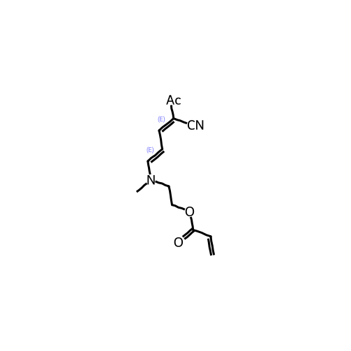 C=CC(=O)OCCN(C)/C=C/C=C(\C#N)C(C)=O